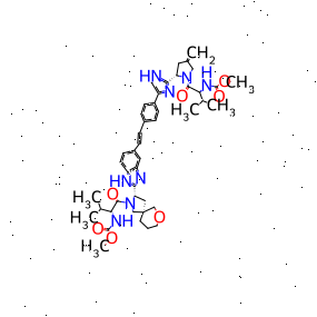 C=C1C[C@@H](c2nc(-c3ccc(C#Cc4ccc5[nH]c([C@@H]6C[C@]7(CCCOC7)CN6C(=O)[C@@H](NC(=O)OC)C(C)C)nc5c4)cc3)c[nH]2)N(C(=O)[C@@H](NC(=O)OC)C(C)C)C1